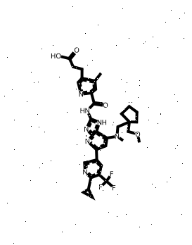 COCC1(CN(C)c2cc(-c3cnc(C4CC4)c(C(F)(F)F)c3)nc3nc(NC(=O)c4cc(C)c(CCC(=O)O)cn4)[nH]c23)CCCC1